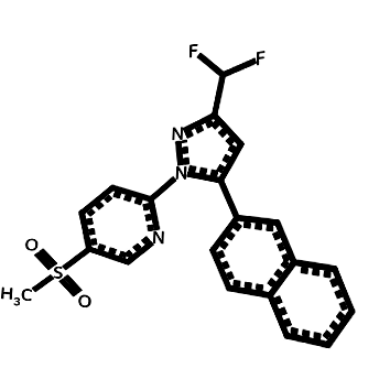 CS(=O)(=O)c1ccc(-n2nc(C(F)F)cc2-c2ccc3ccccc3c2)nc1